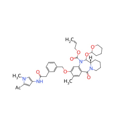 C=CCOC(=O)N1c2cc(OCc3cccc(CC(=O)Nc4cc(C(C)=O)n(C)c4)c3)c(C)cc2C(=O)N2CCCC[C@H]2C1OC1CCCCO1